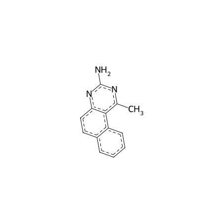 Cc1nc(N)nc2ccc3ccccc3c12